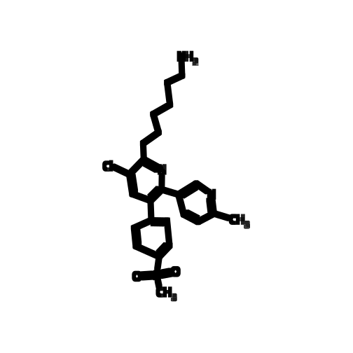 Cc1ccc(-c2nc(CCCCCCN)c(Cl)cc2-c2ccc(S(C)(=O)=O)cc2)cn1